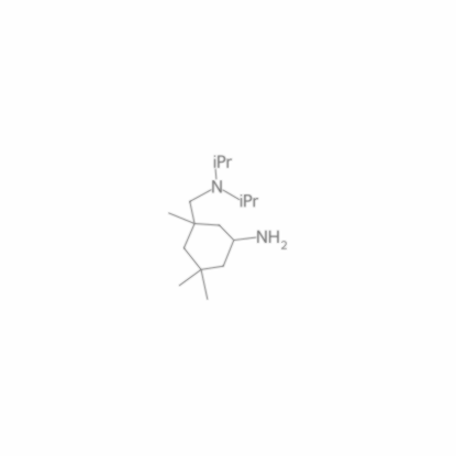 CC(C)N(CC1(C)CC(N)CC(C)(C)C1)C(C)C